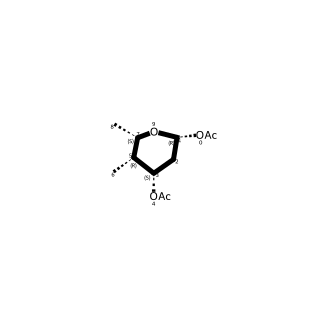 CC(=O)O[C@@H]1C[C@H](OC(C)=O)[C@H](C)[C@H](C)O1